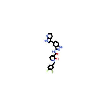 O=C(Nc1n[nH]c2ccc(-c3c[nH]c4ncccc34)cc12)c1cccn(Cc2ccc(F)c(F)c2)c1=O